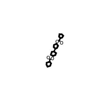 O=C(Oc1ccc(-c2ccc(OC(=O)c3ccccc3)cc2)cc1)c1ccccc1